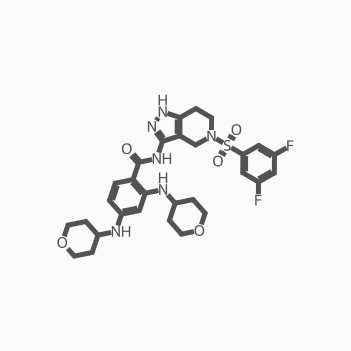 O=C(Nc1n[nH]c2c1CN(S(=O)(=O)c1cc(F)cc(F)c1)CC2)c1ccc(NC2CCOCC2)cc1NC1CCOCC1